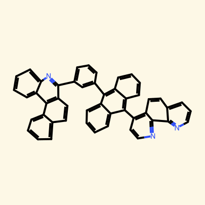 c1cc(-c2c3ccccc3c(-c3ccnc4c3ccc3cccnc34)c3ccccc23)cc(-c2nc3ccccc3c3c2ccc2ccccc23)c1